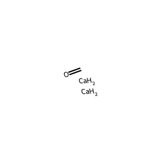 C=O.[CaH2].[CaH2]